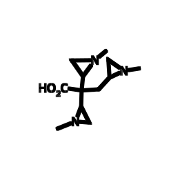 CN1CC1CC(C(=O)O)(C1CN1C)C1CN1C